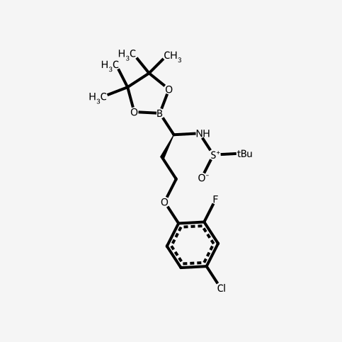 CC(C)(C)[S+]([O-])N[C@@H](CCOc1ccc(Cl)cc1F)B1OC(C)(C)C(C)(C)O1